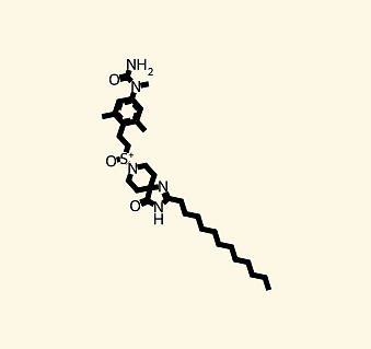 CCCCCCCCCCCCC1=NC2(CCN([S+]([O-])CCc3c(C)cc(N(C)C(N)=O)cc3C)CC2)C(=O)N1